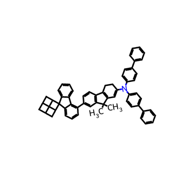 CC1(C)C2=C(CCC(N(c3ccc(-c4ccccc4)cc3)c3ccc(-c4ccccc4)cc3)=C2)c2ccc(-c3cccc4c3-c3ccccc3C43C4CC5CC6CC3C564)cc21